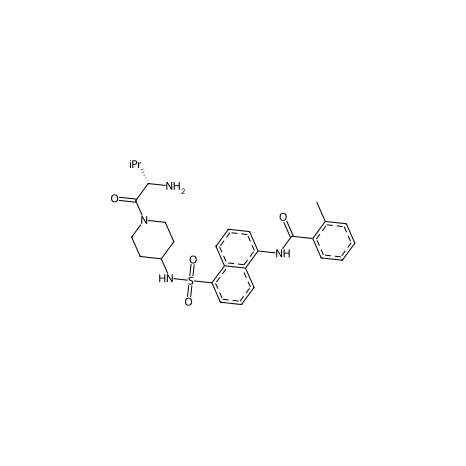 Cc1ccccc1C(=O)Nc1cccc2c(S(=O)(=O)NC3CCN(C(=O)[C@@H](N)C(C)C)CC3)cccc12